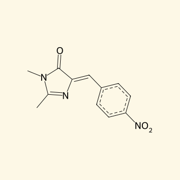 CC1=N/C(=C\c2ccc([N+](=O)[O-])cc2)C(=O)N1C